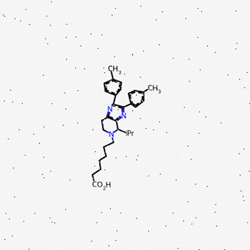 Cc1ccc(-c2nc3c(nc2-c2ccc(C)cc2)C(C(C)C)N(CCCCCCC(=O)O)CC3)cc1